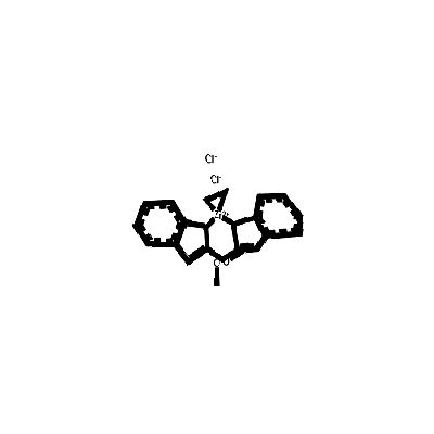 COC1=Cc2ccccc2[CH]1[Zr+2]1([CH]2C(OC)=Cc3ccccc32)[CH2][CH2]1.[Cl-].[Cl-]